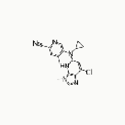 Cc1cc(C#N)ncc1N(C1CC1)C1C=C(Cl)c2ncn(C)c2N1